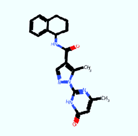 Cc1cc(=O)[nH]c(-n2ncc(C(=O)NC3CCCc4ccccc43)c2C)n1